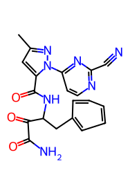 Cc1cc(C(=O)NC(Cc2ccccc2)C(=O)C(N)=O)n(-c2ccnc(C#N)n2)n1